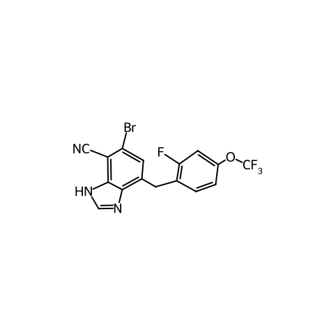 N#Cc1c(Br)cc(Cc2ccc(OC(F)(F)F)cc2F)c2nc[nH]c12